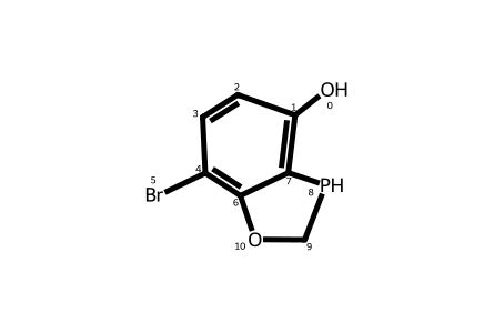 Oc1ccc(Br)c2c1PCO2